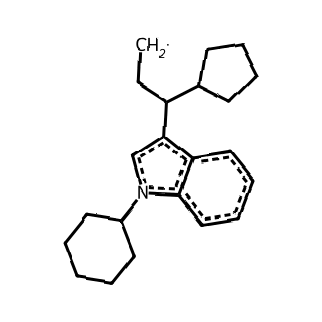 [CH2]CC(c1cn(C2CCCCC2)c2ccccc12)C1CCCC1